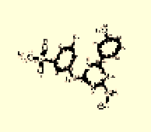 CC(C)(C)Nc1nc(Nc2cc(F)cc(S(C)(=O)=O)c2)nc(-c2cccc(O)c2)n1